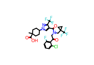 CC1(C(=O)O)CCC(n2cc(C(=O)N(CC(=O)c3c(F)cccc3Cl)CC3(C(F)(F)F)CC3)c(C(F)(F)F)n2)CC1